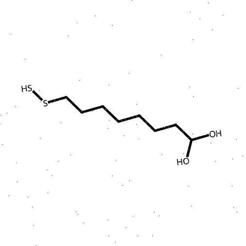 OC(O)CCCCCCCSS